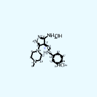 CN1CCN(C2=NN=C(N)/C2=N/Nc2ccccc2)CC1.Cl.Cl